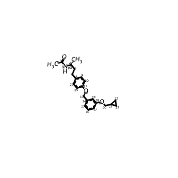 CC(=O)N[C@@H](C)CCc1ccc(OCc2cccc(OCC3CC3)c2)cc1